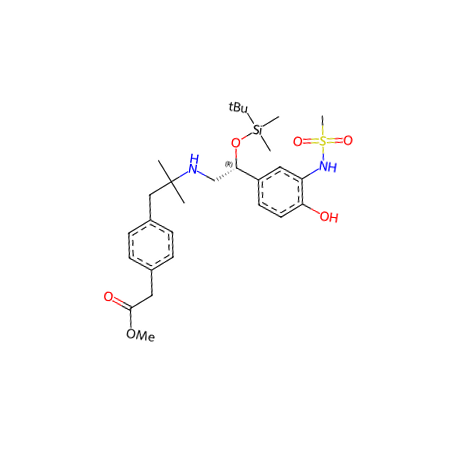 COC(=O)Cc1ccc(CC(C)(C)NC[C@H](O[Si](C)(C)C(C)(C)C)c2ccc(O)c(NS(C)(=O)=O)c2)cc1